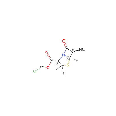 [C-]#[N+][C@@H]1C(=O)N2[C@@H]1SC(C)(C)[C@@H]2C(=O)OCCl